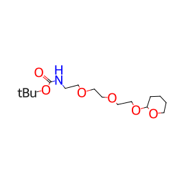 CC(C)(C)OC(=O)NCCOCCOCCOC1CCCCO1